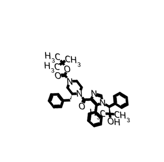 CC(C)(C)OC(=O)N1CCN(C(=O)c2ncn([C@@H](c3ccccc3)C(C)(C)O)c2-c2ccccc2)[C@H](Cc2ccccc2)C1